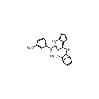 CCOC(=O)C1C2C=CC(C2)C1Nc1nc(Nc2cccc(OC)c2)[nH]c2nccc1-2